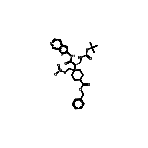 CC(C)(C)OC(=O)NC[C@@H](C(=O)Nc1cc2ccncc2s1)C1(CO[N+](=O)[O-])CCC(C(=O)OCc2ccccc2)CC1